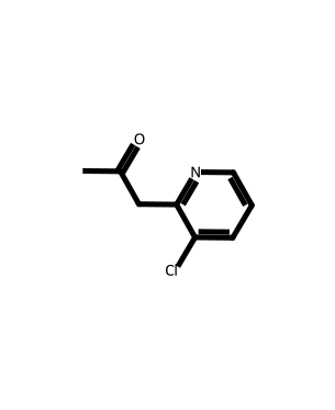 CC(=O)Cc1ncccc1Cl